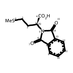 CSCC[C@@H](C(=O)O)N1C(=O)c2ccccc2C1=O